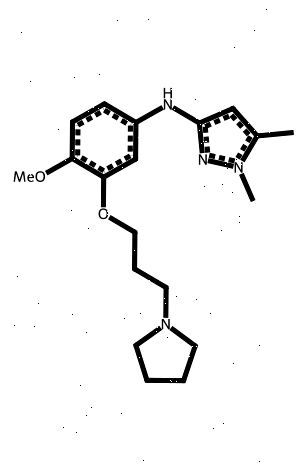 COc1ccc(Nc2cc(C)n(C)n2)cc1OCCCN1CCCC1